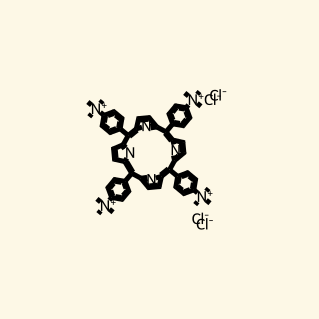 C[N+](C)(C)c1ccc(C2=C3C=CC(=N3)C(c3ccc([N+](C)(C)C)cc3)=C3C=CC(=N3)C(c3ccc([N+](C)(C)C)cc3)=C3C=CC(=N3)C(c3ccc([N+](C)(C)C)cc3)=C3C=CC2=N3)cc1.[Cl-].[Cl-].[Cl-].[Cl-]